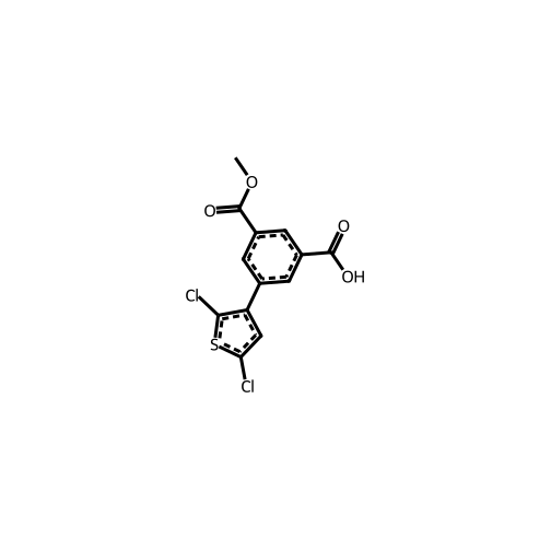 COC(=O)c1cc(C(=O)O)cc(-c2cc(Cl)sc2Cl)c1